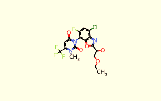 CCOCC(=O)c1nc2c(Cl)cc(F)c(-n3c(=O)cc(C(F)(F)F)n(C)c3=O)c2o1